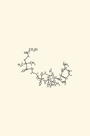 CCOC(=O)NCCC(C)(C)C(=O)SCCO[P@@]1(=O)OC[C@H]2O[C@@H](n3cnc4cnc(N)nc43)[C@](C)(O)[C@@H]2O1